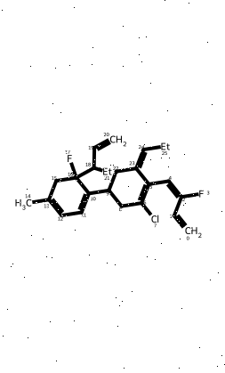 C=C/C(F)=C\C1=C(Cl)CC(C2=CC=C(C)CC2(F)C(C=C)CC)CC1=CCC